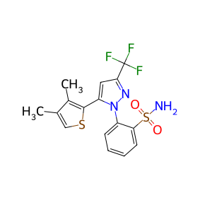 Cc1csc(-c2cc(C(F)(F)F)nn2-c2ccccc2S(N)(=O)=O)c1C